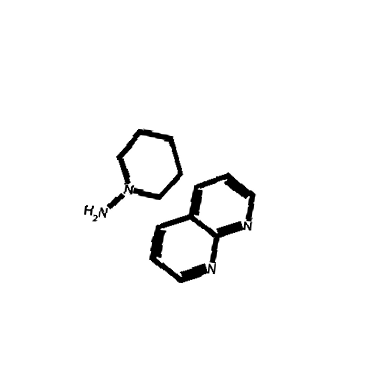 NN1CCCCC1.c1cnc2ncccc2c1